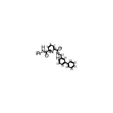 CC(C)NC(=O)c1cccc(C(=O)NCc2cccc(-c3ccccc3)c2)n1